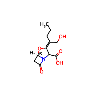 CCCC(CO)=C1O[C@@H]2CC(=O)N2C1C(=O)O